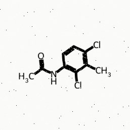 CC(=O)Nc1ccc(Cl)c(C)c1Cl